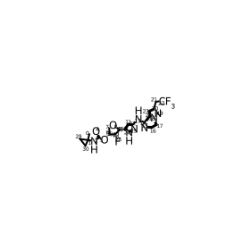 CC1(NC(=O)O[C@@H]2CO[C@H](c3cc(Nc4nccn5nc(CC(F)(F)F)cc45)n[nH]3)[C@@H]2F)CC1